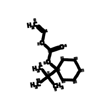 C=COC(=O)OC1(C(C)(C)C)CCCCC1